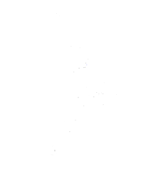 C=CCCCCCC/C=C(\CCCCCCCC)OC(COCCCCCCCCC=C)C[N+](C)(C)C